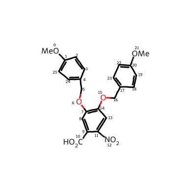 COc1ccc(COc2cc(C(=O)O)c([N+](=O)[O-])cc2OCc2ccc(OC)cc2)cc1